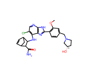 COc1cc(CN2CC[C@H](O)C2)ccc1-c1nc2c(NC3C4C=CC(C4)C3C(N)=O)c(Cl)cnc2[nH]1